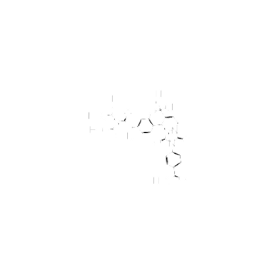 CC(=O)c1ccc(-n2c(=O)n3n(c2=O)C2C(=CC3)C(C)(C)Oc3cc(OC(=O)N(C(C)C)C(C)C)ccc32)cc1